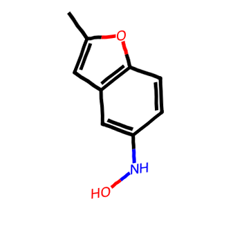 Cc1cc2cc(NO)ccc2o1